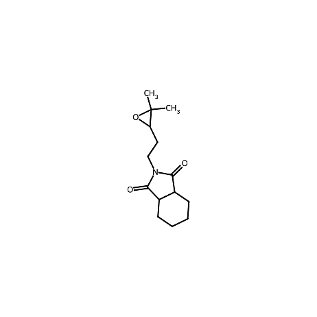 CC1(C)OC1CCN1C(=O)C2CCCCC2C1=O